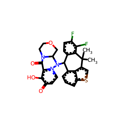 CC1(C)c2c(ccc(F)c2F)C(N2C3COCCN3C(=O)c3c(O)c(=O)ccn32)c2cccc3scc1c23